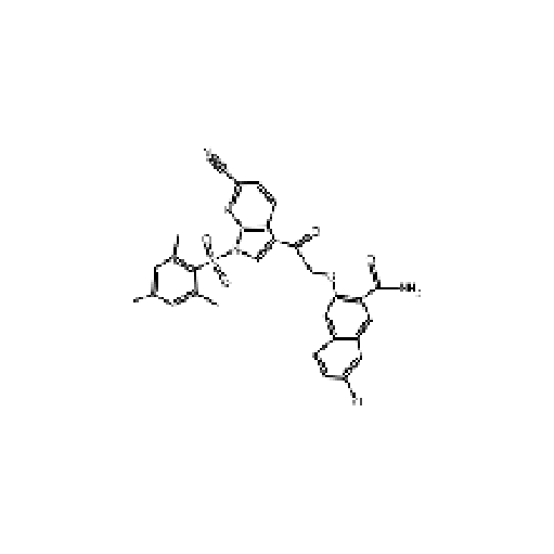 Cc1cc(C)c(S(=O)(=O)n2cc(C(=O)COc3cc4ccc(Cl)cc4cc3C(N)=O)c3ccc(C#N)nc32)c(C)c1